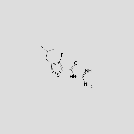 CC(C)Cc1csc(C(=O)NC(=N)N)c1F